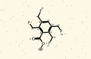 O=C(OBr)c1c(CF)c(CF)cc(CF)c1CF